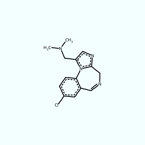 CN(C)Cc1cnc2n1-c1ccc(Cl)cc1C=NC2